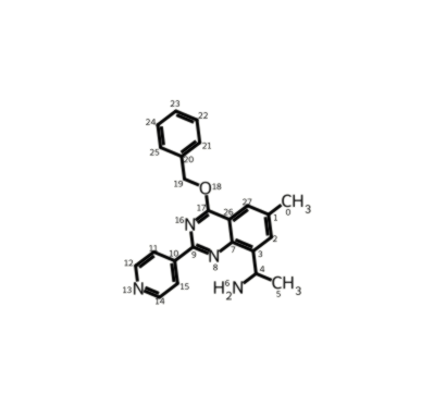 Cc1cc(C(C)N)c2nc(-c3ccncc3)nc(OCc3ccccc3)c2c1